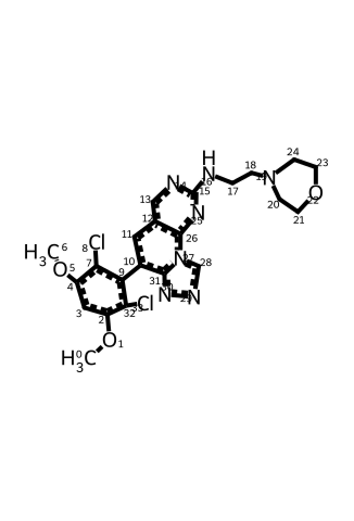 COc1cc(OC)c(Cl)c(-c2cc3cnc(NCCN4CCOCC4)nc3n3cnnc23)c1Cl